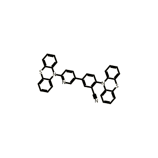 N#Cc1cc(-c2ccc(N3c4ccccc4Sc4ccccc43)nc2)ccc1N1c2ccccc2Sc2ccccc21